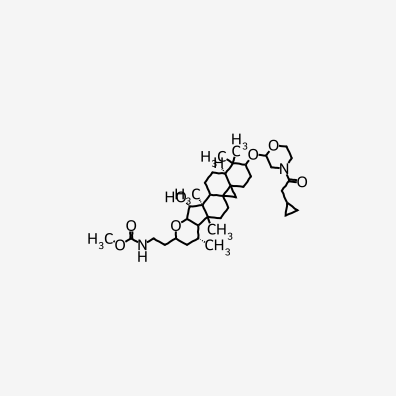 COC(=O)NCCC1C[C@@H](C)C2C(O1)[C@H](O)[C@@]1(C)C3CC[C@H]4C(C)(C)C(OC5CN(C(=O)CC6CC6)CCO5)CCC45CC35CCC21C